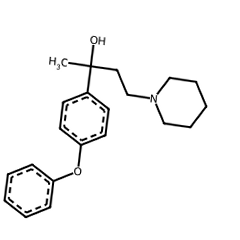 CC(O)(CCN1CCCCC1)c1ccc(Oc2ccccc2)cc1